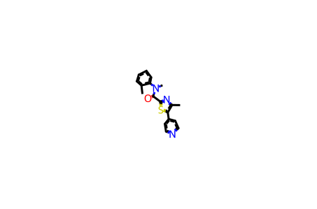 Cc1ccccc1N(C)C(=O)c1nc(C)c(-c2ccncc2)s1